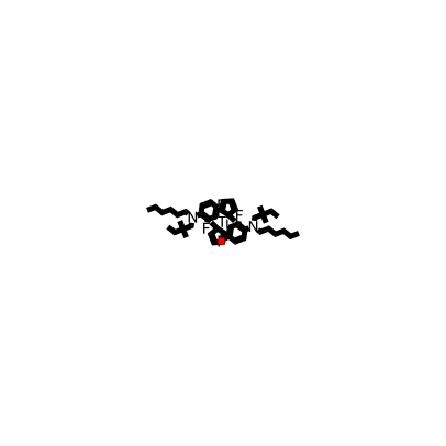 CCCCCCN(CC(C)(C)CC)c1ccc(F)[c]([Ti]([c]2c(F)ccc(N(CCCCCC)CC(C)(C)CC)c2F)([C]2(C)C=CC=C2)[C]2(C)C=CC=C2)c1F